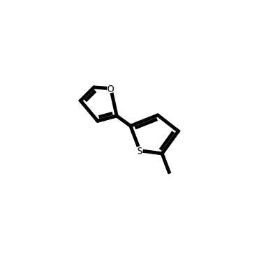 Cc1ccc(-c2ccco2)s1